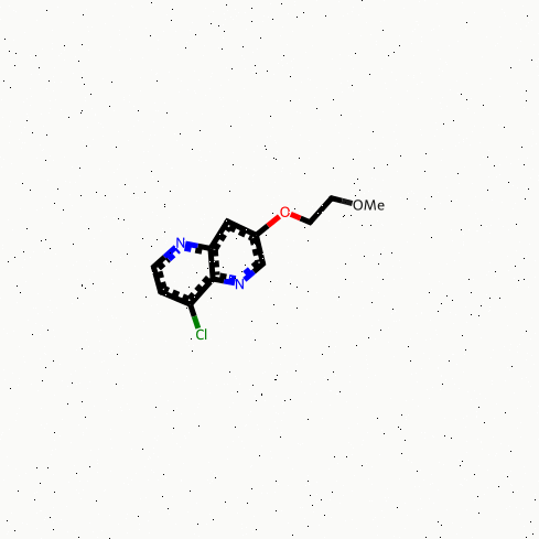 COCCOc1cnc2c(Cl)ccnc2c1